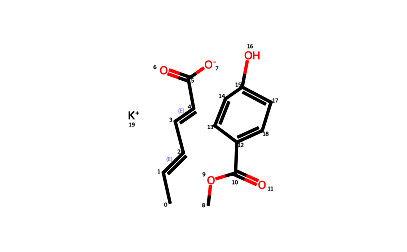 C/C=C/C=C/C(=O)[O-].COC(=O)c1ccc(O)cc1.[K+]